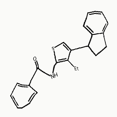 CCc1c(C2CCc3ccccc32)csc1NC(=O)c1ccccc1